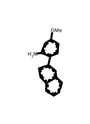 COc1ccc(-c2ccc3ccccc3c2)c(N)c1